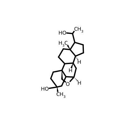 CC(O)C1CC[C@H]2[C@@H]3C[C@H]4OC[C@@]5(CC[C@@](C)(O)CC45)C3CC[C@]12C